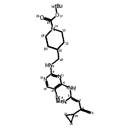 C=C(/C=C(\NC)Nc1nc(NCC2CCN(C(=O)OC(C)(C)C)CC2)ncc1Br)C1CC1